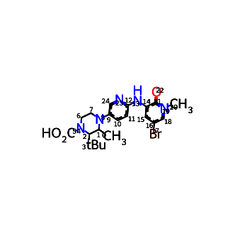 CC1[C@@H](C(C)(C)C)N(C(=O)O)CCN1c1ccc(Nc2cc(Br)cn(C)c2=O)nc1